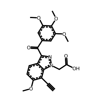 C#Cc1c(OC)ccc2c(C(=O)c3cc(OC)c(OC)c(OC)c3)nn(CC(=O)O)c12